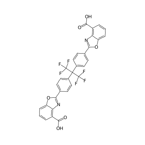 O=C(O)c1cccc2oc(-c3ccc(C(c4ccc(-c5nc6c(C(=O)O)cccc6o5)cc4)(C(F)(F)F)C(F)(F)F)cc3)nc12